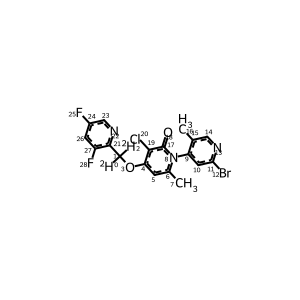 [2H]C([2H])(Oc1cc(C)n(-c2cc(Br)ncc2C)c(=O)c1Cl)c1ncc(F)cc1F